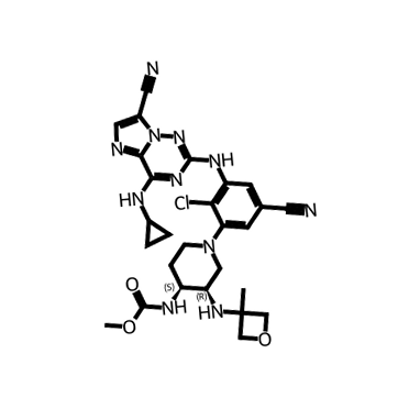 COC(=O)N[C@H]1CCN(c2cc(C#N)cc(Nc3nc(NC4CC4)c4ncc(C#N)n4n3)c2Cl)C[C@H]1NC1(C)COC1